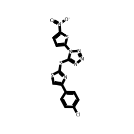 O=[N+]([O-])c1ccc(-n2nnnc2Sc2nc(-c3ccc(Cl)cc3)cs2)s1